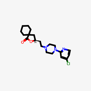 O=C1O[C@H](CCN2CCN(c3cc(Cl)ccn3)CC2)CC12CCCCC2